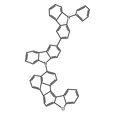 c1ccc(-n2c3ccccc3c3cc(-c4ccc5c(c4)c4ccccc4n5-c4ccc5c6c(cccc46)-c4ccc6oc7ccccc7c6c4-5)ccc32)cc1